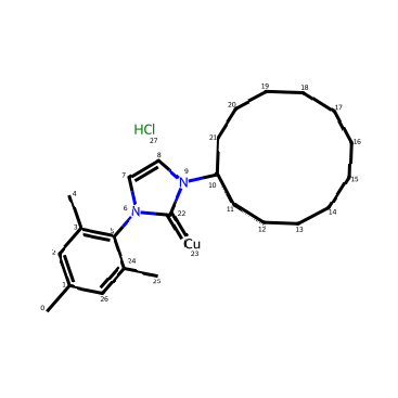 Cc1cc(C)c(-n2ccn(C3CCCCCCCCCCC3)[c]2=[Cu])c(C)c1.Cl